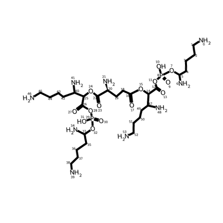 NCCCCC(N)OP(=O)(O)OC(=O)C(OC(=O)CC[C@H](N)C(=O)OC(C(=O)OP(=O)(O)OC(N)CCCCN)C(N)CCCCN)C(N)CCCCN